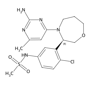 Cc1cc(N2CCCOC[C@H]2c2cc(NS(C)(=O)=O)ccc2Cl)nc(N)n1